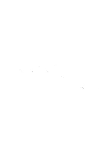 C=C(/C=C\C1=C(C)N(C(=C)Nc2cc(CC)ccn2)C2CCN1C2)C(=C)NC(C)C(F)(F)F